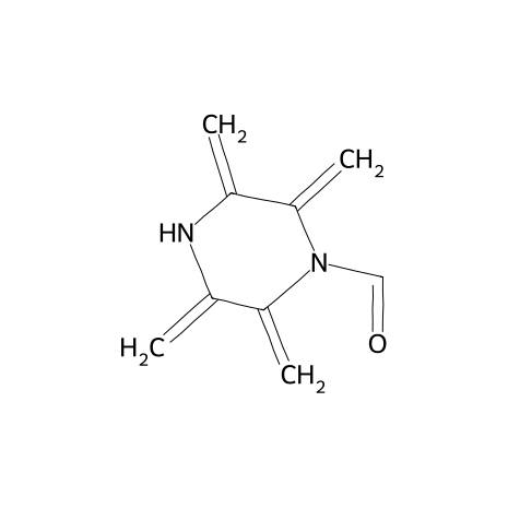 C=C1NC(=C)C(=C)N(C=O)C1=C